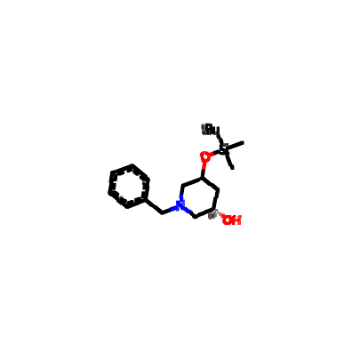 CC(C)(C)[Si](C)(C)OC1C[C@H](O)CN(Cc2ccccc2)C1